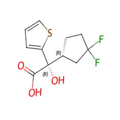 O=C(O)[C@@](O)(c1cccs1)[C@@H]1CCC(F)(F)C1